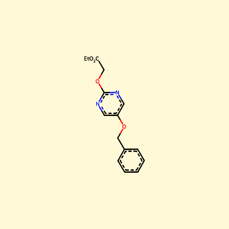 CCOC(=O)COc1ncc(OCc2ccccc2)cn1